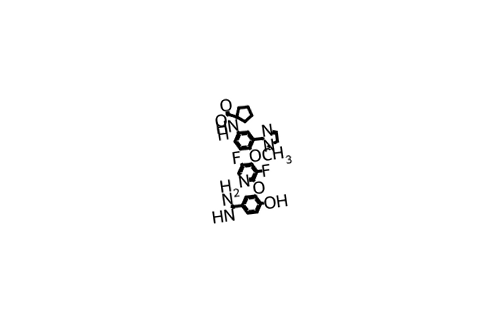 CN1CC=NC1c1cc(NC2(C(=O)O)CCCC2)ccc1Oc1c(F)cnc(Oc2cc(C(=N)N)ccc2O)c1F